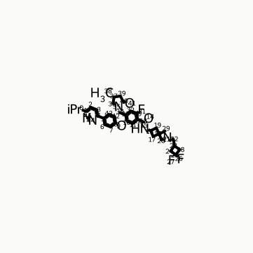 CC(C)c1ccc(-c2ccc(Oc3cc(C(=O)NC4CC5(C4)CN(CC4CC(F)(F)C4)C5)c(F)cc3CN3C[C@@H](C)CC3=O)cc2)nn1